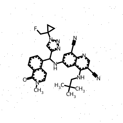 Cn1ccc2c(C(Nc3cc(C#N)c4ncc(C#N)c(NCC(C)(C)C)c4c3)c3cn(C4(CF)CC4)nn3)cccc2c1=O